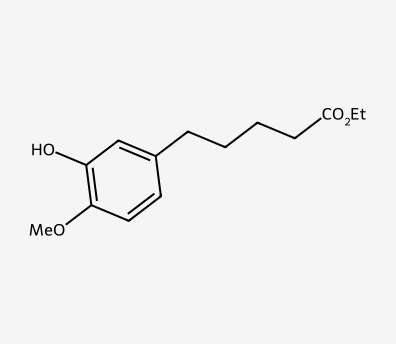 CCOC(=O)CCCCc1ccc(OC)c(O)c1